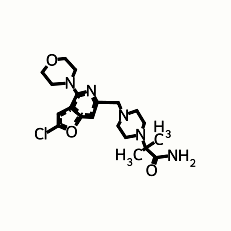 CC(C)(C(N)=O)N1CCN(Cc2cc3oc(Cl)cc3c(N3CCOCC3)n2)CC1